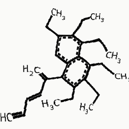 [CH]=C/C=C/C(=C)c1c(CC)c(CC)c(CC)c2c(CC)c(CC)c(CC)cc12